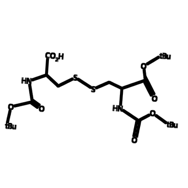 CC(C)(C)OC(=O)NC(CSSCC(NC(=O)OC(C)(C)C)C(=O)OC(C)(C)C)C(=O)O